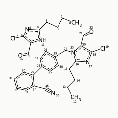 CCCCc1nc(Cl)c(C=O)[nH]1.CCCCc1nc(Cl)c(C=O)n1Cc1ccc(-c2ccccc2C#N)cc1